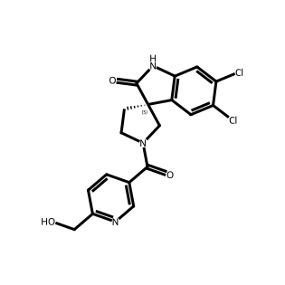 O=C(c1ccc(CO)nc1)N1CC[C@]2(C1)C(=O)Nc1cc(Cl)c(Cl)cc12